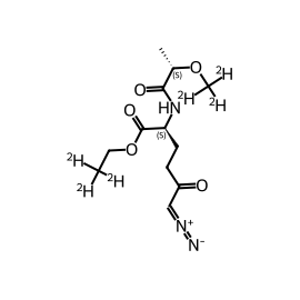 [2H]C([2H])([2H])COC(=O)[C@H](CCC(=O)C=[N+]=[N-])NC(=O)[C@H](C)OC([2H])([2H])[2H]